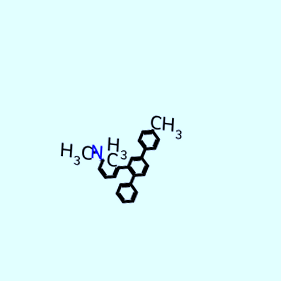 C\N=C/C=C\C=C(/C)c1cc(-c2ccc(C)cc2)ccc1-c1ccccc1